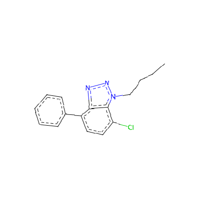 CCCCn1nnc2c(-c3ccccc3)ccc(Cl)c21